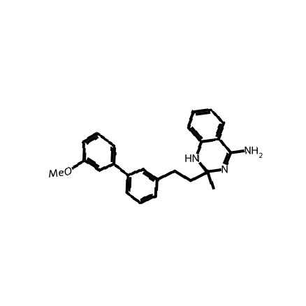 COc1cccc(-c2cccc(CCC3(C)N=C(N)c4ccccc4N3)c2)c1